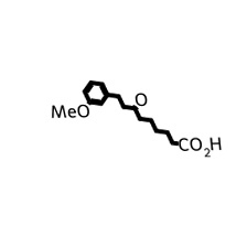 COc1cccc(CCC(=O)CCCCCC(=O)O)c1